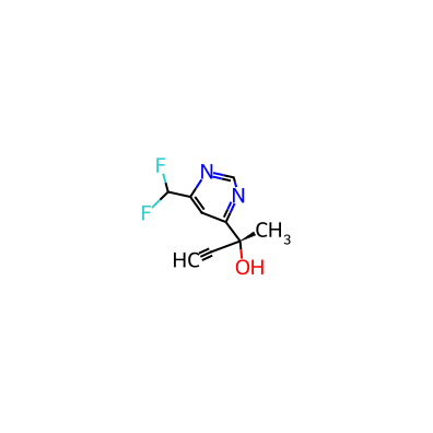 C#C[C@@](C)(O)c1cc(C(F)F)ncn1